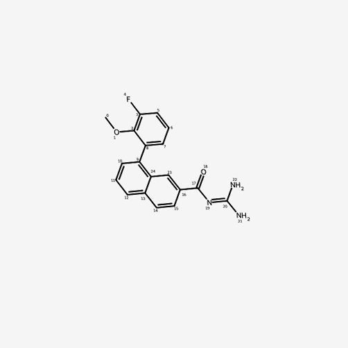 COc1c(F)cccc1-c1cccc2ccc(C(=O)N=C(N)N)cc12